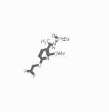 COc1nc(OCC(F)F)ccc1C(C)N[S@+]([O-])C(C)(C)C